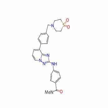 CNC(=O)c1ccc(Nc2nc3c(-c4ccc(CN5CCS(=O)(=O)CC5)cc4)cccn3n2)cc1